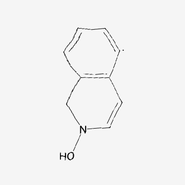 ON1C=Cc2[c]cccc2C1